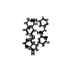 c1ccc(CNc2cc(-c3c[nH]c4ncnc(Oc5ccc6c(c5)CNCC6)c34)ccn2)cc1